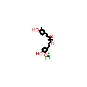 Cc1cc(/C=C/C(=O)C(C)(C)C(=O)/C=C/c2ccc(O)c(OC(F)(F)F)c2)ccc1O